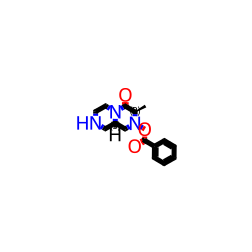 C[C@@H]1C(=O)N2CCNC[C@H]2CN1OC(=O)c1ccccc1